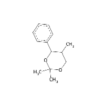 CC1COC(C)(C)OC1c1ccccc1